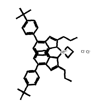 CCCC1=Cc2c(-c3ccc(C(C)(C)C)cc3)cccc2[CH]1[Hf+2]1([CH]2C(CCC)=Cc3c(-c4ccc(C(C)(C)C)cc4)cccc32)[CH2]C[CH2]1.[Cl-].[Cl-]